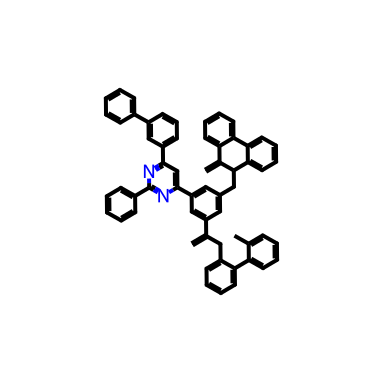 C=C(Cc1ccccc1-c1ccccc1C)c1cc(CC2C(=C)c3ccccc3-c3ccccc32)cc(-c2cc(-c3cccc(-c4ccccc4)c3)nc(-c3ccccc3)n2)c1